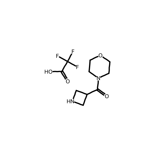 O=C(C1CNC1)N1CCOCC1.O=C(O)C(F)(F)F